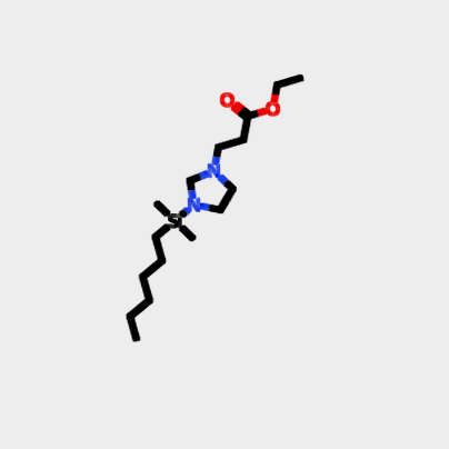 CCCCCC[Si](C)(C)N1CCN(CCC(=O)OCC)C1